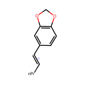 CCC/C=C/c1ccc2c(c1)OCO2